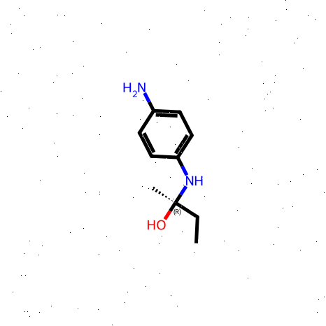 CC[C@@](C)(O)Nc1ccc(N)cc1